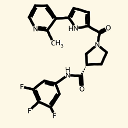 Cc1ncccc1-c1ccc(C(=O)N2CC[C@H](C(=O)Nc3cc(F)c(F)c(F)c3)C2)[nH]1